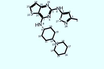 Cc1cc(Nc2nc(N[C@H]3CC[C@H](N4CCCCC4)CC3)c3sccc3n2)sn1